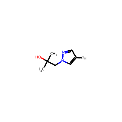 [2H]c1cnn(CC(C)(C)O)c1